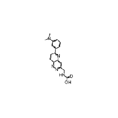 CN(C)c1cccc(-c2ccc3nnc(CNC(=O)O)cc3n2)c1